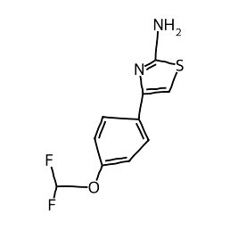 Nc1nc(-c2ccc(OC(F)F)cc2)cs1